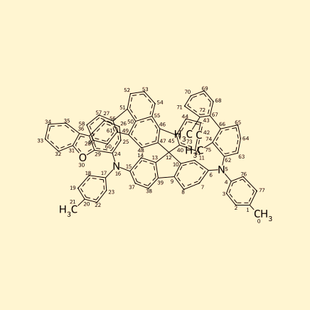 Cc1ccc(N(c2ccc3c(c2)C2(c4cc(N(c5ccc(C)cc5)c5cccc6c5oc5ccccc56)ccc4-3)c3ccccc3-c3c2cc2c4c(cccc34)-c3ccccc3-2)c2cccc(-c3ccccc3C)c2C)cc1